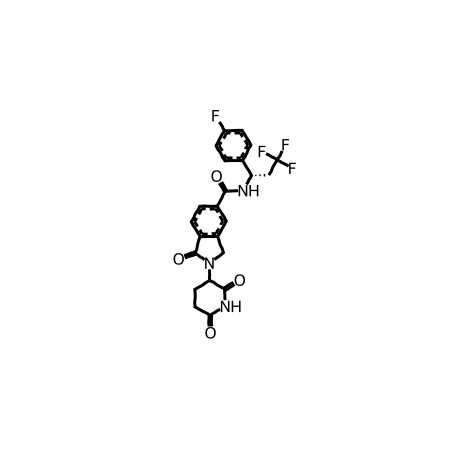 O=C1CCC(N2Cc3cc(C(=O)N[C@@H](CC(F)(F)F)c4ccc(F)cc4)ccc3C2=O)C(=O)N1